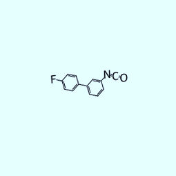 O=C=Nc1cccc(-c2ccc(F)cc2)c1